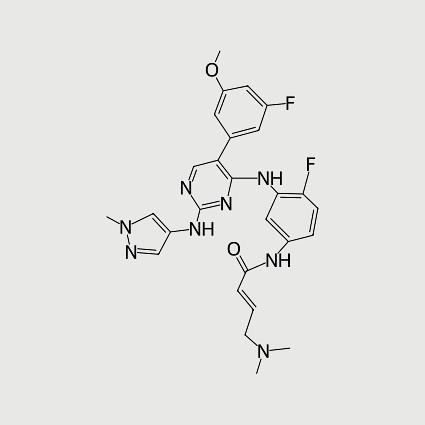 COc1cc(F)cc(-c2cnc(Nc3cnn(C)c3)nc2Nc2cc(NC(=O)/C=C/CN(C)C)ccc2F)c1